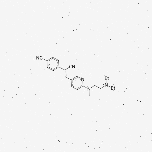 CCN(CC)CCN(C)c1ccc(/C=C(\C#N)c2ccc(C#N)cc2)cn1